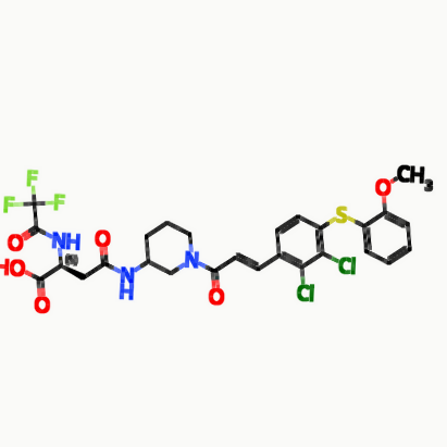 COc1ccccc1Sc1ccc(C=CC(=O)N2CCCC(NC(=O)C[C@H](NC(=O)C(F)(F)F)C(=O)O)C2)c(Cl)c1Cl